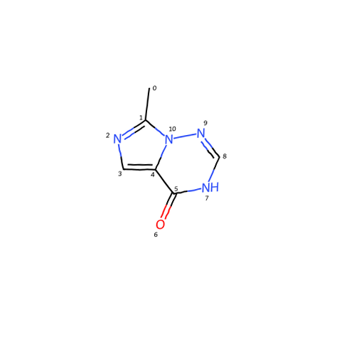 Cc1ncc2c(=O)[nH]cnn12